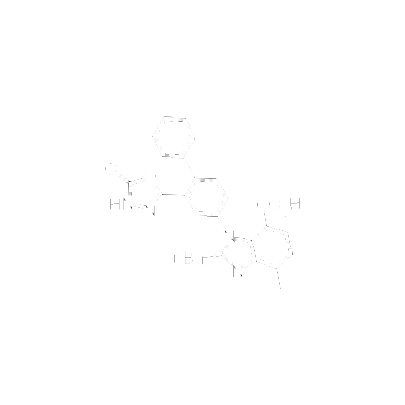 CCCCc1nc2c(C)ccc(C(=O)O)c2n1-c1ccc(-c2ccccc2)c(-c2n[nH]c(=O)o2)c1